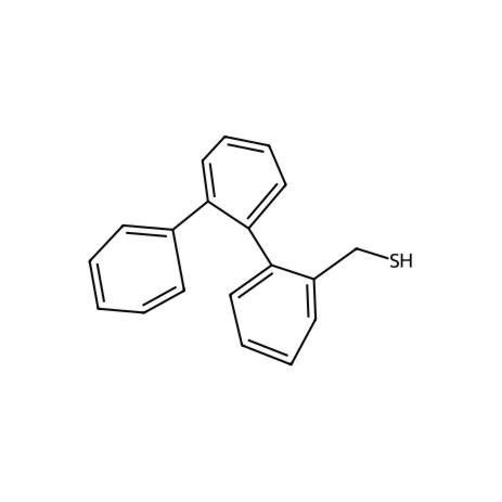 SCc1ccccc1-c1ccccc1-c1ccccc1